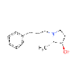 C[C@H]1[C@H](O)CCN1CCCc1ccccc1